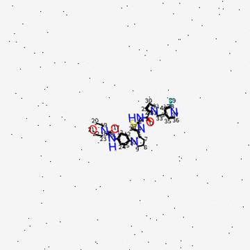 O=C(Nc1nc(C2CCCN2c2ccc(NC(=O)N3CCOCC3)cc2)cs1)c1cccn1Cc1ccnc(F)c1